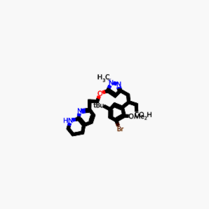 COc1c(Br)cc(C(C)(C)C)cc1C(CC(=O)O)Cc1cc(OCCc2ccc3c(n2)NCCC3)n(C)n1